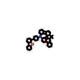 CC1(C)c2ccccc2C2(C)C3=C(C=CC12)c1cccc(N(c2ccc(-c4ccccc4)cc2)c2ccc(-c4cccc5c4oc4ccccc45)cc2)c13